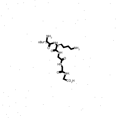 CCCC[C@H](N)C(=O)N[C@@H](CCCCN)C(=O)NCC(=O)NCC(=O)NCC(=O)O